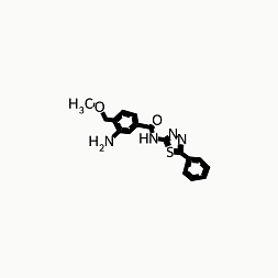 COCc1ccc(C(=O)Nc2nnc(-c3ccccc3)s2)cc1N